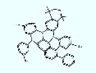 CC(C)c1cc2c3c(c1)N(c1ccc(C(C)(C)C)cc1-c1ccccc1-c1ccccc1)c1cc4c(cc1B3c1ccc(C(C)(C)C)cc1N2c1cccc(C(C)(C)C)c1)C(C)(C)CCC4(C)C